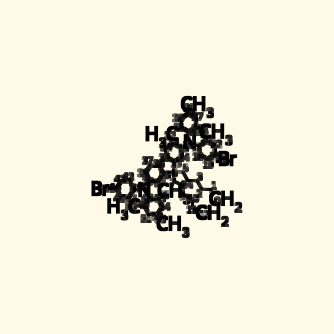 C=CCCCCC1(CCCCC=C)c2cc(N(c3ccc(Br)cc3)c3c(C)cc(C)cc3C)ccc2-c2ccc(N(c3ccc(Br)cc3)c3c(C)cc(C)cc3C)cc21